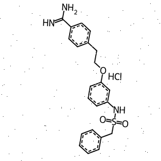 Cl.N=C(N)c1ccc(CCOc2cccc(NS(=O)(=O)Cc3ccccc3)c2)cc1